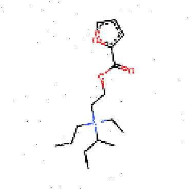 CCC[N+](CC)(CCOC(=O)c1ccco1)C(C)CC